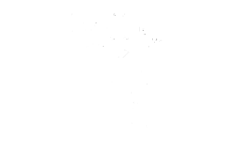 COc1cc(OCc2ccccc2)c(F)cc1C1=C(Br)CCc2cc(OC(C)(C)C)ccc21